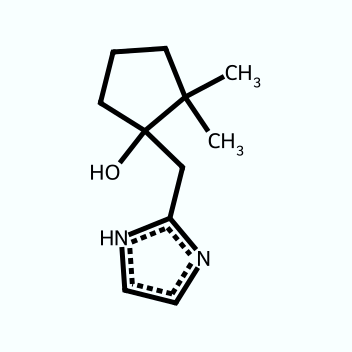 CC1(C)CCCC1(O)Cc1ncc[nH]1